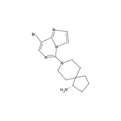 N[C@H]1CCCC12CCN(c1ncc(Br)c3nccn13)CC2